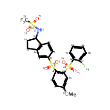 COc1ccc(S(=O)(=O)c2ccc3c(c2)CCC3NS(=O)(=O)C(F)(F)F)c(S(=O)(=O)c2ccccc2F)c1